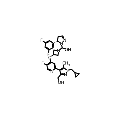 Cc1c(-c2cc(OC3CN(C(O)N4N=CC[C@H]4c4cc(F)cc(F)c4)C3)c(F)cn2)c(CO)nn1CC1CC1